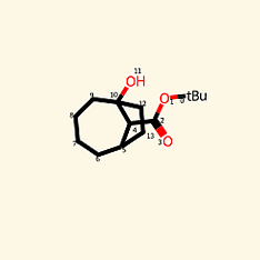 CC(C)(C)OC(=O)C1C2CCCCC1(O)CC2